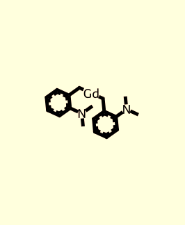 CN(C)c1ccccc1[CH2][Gd][CH2]c1ccccc1N(C)C